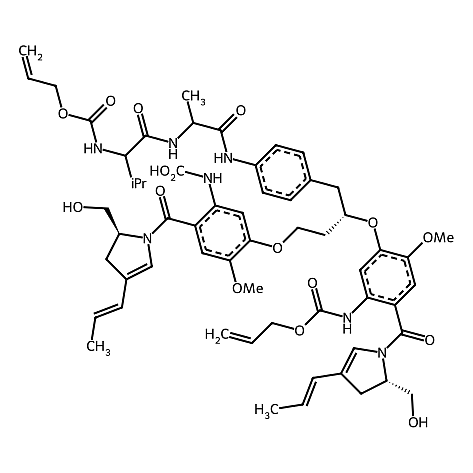 C=CCOC(=O)Nc1cc(O[C@H](CCOc2cc(NC(=O)O)c(C(=O)N3C=C(/C=C/C)C[C@H]3CO)cc2OC)Cc2ccc(NC(=O)C(C)NC(=O)C(NC(=O)OCC=C)C(C)C)cc2)c(OC)cc1C(=O)N1C=C(/C=C/C)C[C@H]1CO